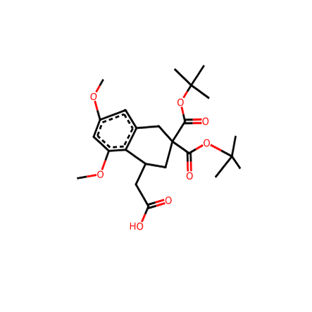 COc1cc2c(c(OC)c1)C(CC(=O)O)CC(C(=O)OC(C)(C)C)(C(=O)OC(C)(C)C)C2